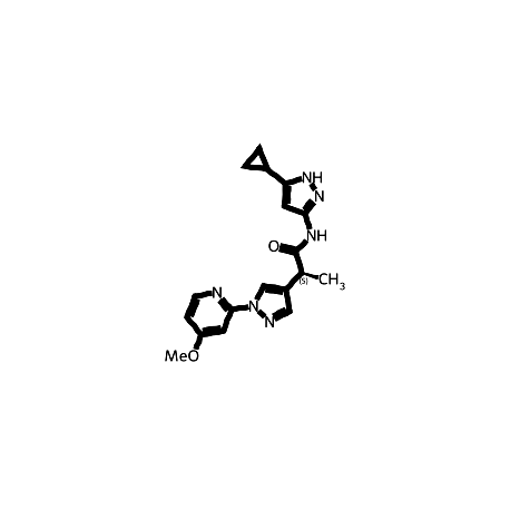 COc1ccnc(-n2cc([C@H](C)C(=O)Nc3cc(C4CC4)[nH]n3)cn2)c1